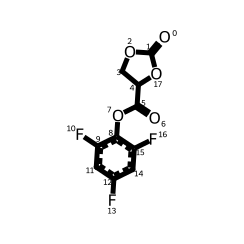 O=C1OCC(C(=O)Oc2c(F)cc(F)cc2F)O1